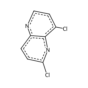 Clc1ccc2nccc(Cl)c2n1